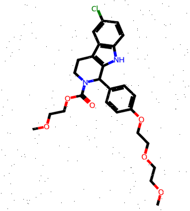 COCCOCCOc1ccc(C2c3[nH]c4ccc(Cl)cc4c3CCN2C(=O)OCCOC)cc1